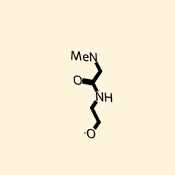 CNCC(=O)NCC[O]